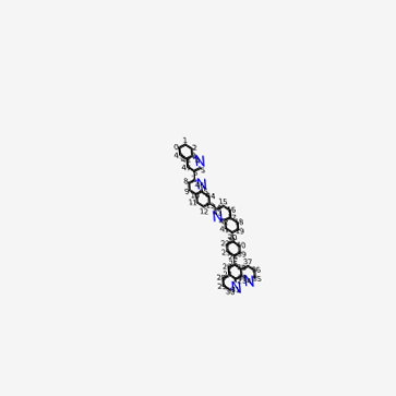 c1ccc2ncc(-c3ccc4ccc(-c5ccc6ccc(-c7ccc(-c8cc9cccnc9c9ncccc89)cc7)cc6n5)cc4n3)cc2c1